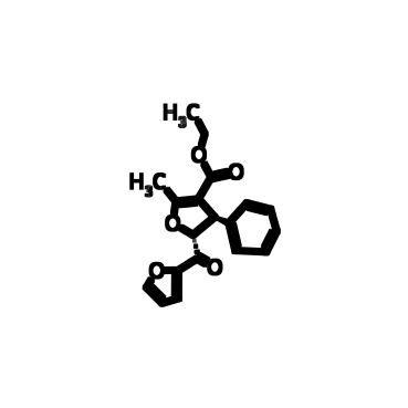 CCOC(=O)C1=C(C)O[C@@H](C(=O)c2ccco2)[C@@H]1c1ccccc1